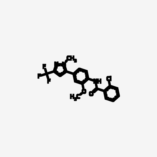 COc1cc(-c2cc(C(F)(F)F)nn2C)ccc1NC(=O)c1ccccc1Cl